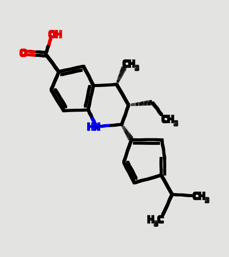 CC[C@H]1[C@@H](C)c2cc(C(=O)O)ccc2N[C@H]1c1ccc(C(C)C)cc1